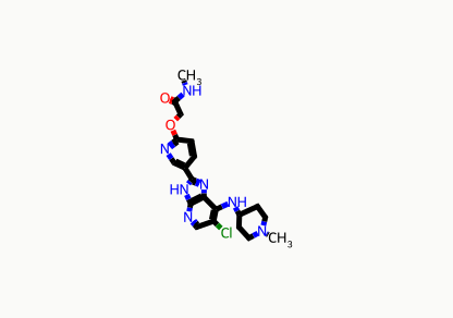 CNC(=O)COc1ccc(-c2nc3c(NC4CCN(C)CC4)c(Cl)cnc3[nH]2)cn1